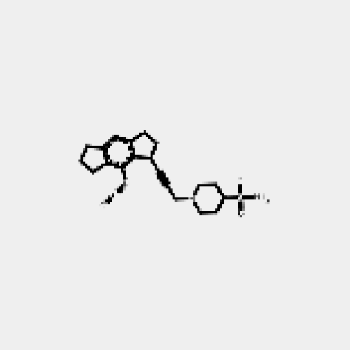 NS(=O)(=O)C1CCN(CC#CC2CCc3cc4c(c(N=C=O)c32)CCC4)CC1